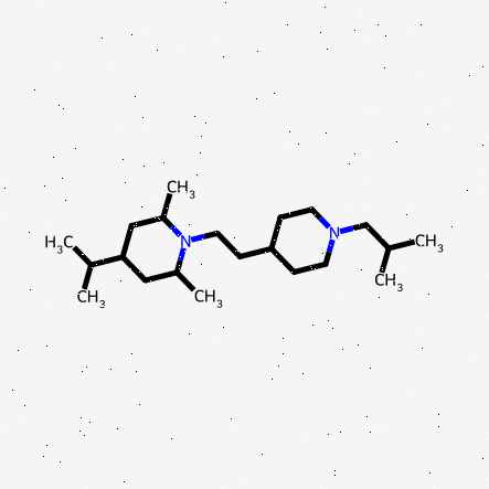 CC(C)CN1CCC(CCN2C(C)CC(C(C)C)CC2C)CC1